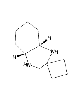 C1CC[C@H]2NCC3(CCC3)N[C@H]2C1